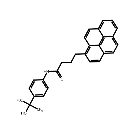 O=C(CCCc1ccc2ccc3cccc4ccc1c2c34)Nc1ccc(C(O)(C(F)(F)F)C(F)(F)F)cc1